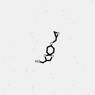 OCC1COC2(CCC(OCC3CO3)CC2)O1